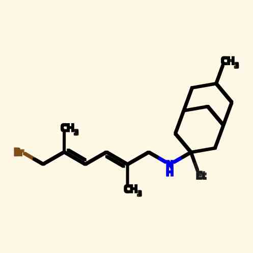 CCC1(NC/C(C)=C/C=C(\C)CBr)CC2CC(C)CC(C2)C1